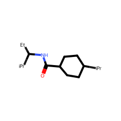 CCC(NC(=O)C1CCC(C(C)C)CC1)C(C)C